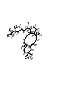 CC[C@]1(O)CC[C@@H]2CCC[C@]3(C)[C@@H]([C@H](C)CCC[C@H](O)C(F)(F)F)CC[C@H]3[C@@H](C)C/C=C\2C1